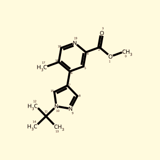 COC(=O)c1cc(-c2cnn(C(C)(C)C)c2)c(C)cn1